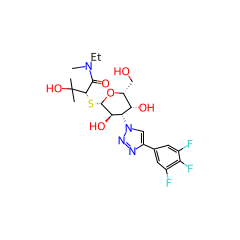 CCN(C)C(=O)[C@H](S[C@@H]1O[C@H](CO)[C@H](O)[C@H](n2cc(-c3cc(F)c(F)c(F)c3)nn2)[C@H]1O)C(C)(C)O